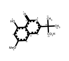 COc1cc(O)c2c(=O)oc(C(C)(C)C(=O)O)cc2c1